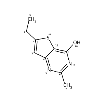 CCc1cc2nc(C)nc(O)c2s1